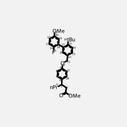 CCCC(CC(=O)OC)c1ccc(OCc2ccc(C(C)(C)C)c(-c3cc(OC)ccc3F)c2)cc1